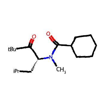 CC(C)C[C@H](C(=O)C(C)(C)C)N(C)C(=O)C1CCCCC1